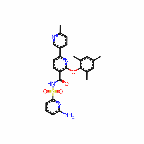 Cc1cc(C)c(Oc2nc(-c3ccc(C)nc3)ccc2C(=O)NS(=O)(=O)c2cccc(N)n2)c(C)c1